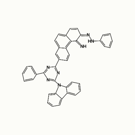 N=C1/C(=N\Nc2ccccc2)C=Cc2ccc3cc(-c4nc(-c5ccccc5)nc(-n5c6ccccc6c6ccccc65)n4)ccc3c21